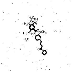 CNS(=O)(=O)c1cc(C(=O)N[C@H]2CCN(CCCC(=O)N3CCCC3)C[C@H]2OC)c(OC)cc1N.O